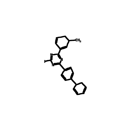 CC1C=C(c2nc(I)nc(-c3ccc(C4C=CC=CC4)cc3)n2)C=CC1